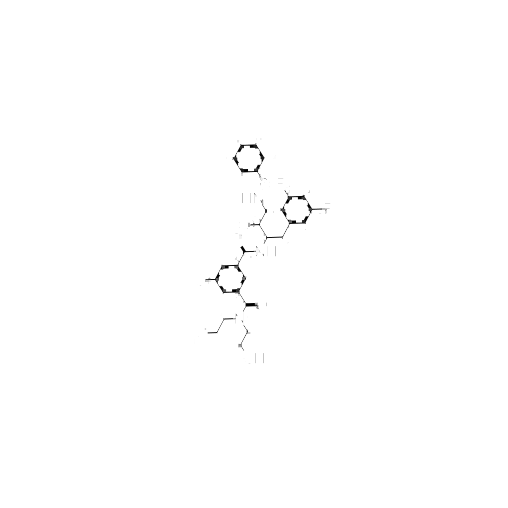 CCCN(CCC)C(=O)c1cc(C)cc(C(=O)NC(Cc2cc(F)cc(F)c2)C(O)CNOc2ccccc2)c1